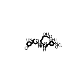 COC(=O)Nc1ccc2c(c1)NC(=O)CC(O)/C=C/C[C@H](N(N)C(=O)Cc1c(C)[nH]c3ccc(Cl)cc13)c1nc-2c[nH]1